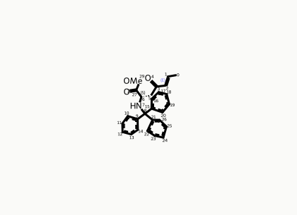 C/C=C/C(=O)C[C@H](NC(c1ccccc1)(c1ccccc1)c1ccccc1)C(=O)OC